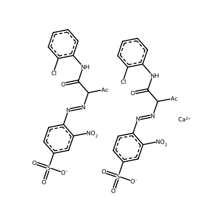 CC(=O)C(N=Nc1ccc(S(=O)(=O)[O-])cc1[N+](=O)[O-])C(=O)Nc1ccccc1Cl.CC(=O)C(N=Nc1ccc(S(=O)(=O)[O-])cc1[N+](=O)[O-])C(=O)Nc1ccccc1Cl.[Ca+2]